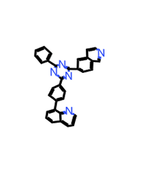 c1ccc(-c2nc(-c3ccc(-c4cccc5cccnc45)cc3)nc(-c3ccc4cnccc4c3)n2)cc1